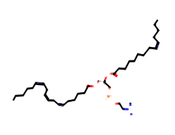 CCCC/C=C\CCCCCCCC(=O)O[C@H](COC(=O)CCCC/C=C\C/C=C\C/C=C\CCCCC)COP(=O)([O-])OCC[N+](C)(C)C